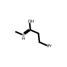 C[SH]=C(O)CCC(C)C